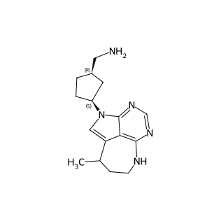 CC1CCNc2ncnc3c2c1cn3[C@H]1CC[C@@H](CN)C1